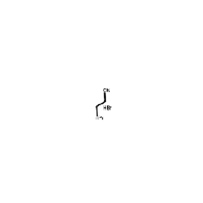 Br.CCCCCC#N